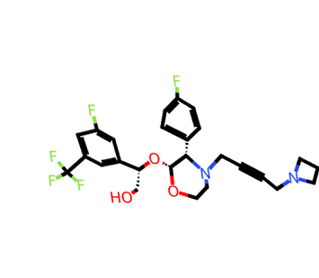 OC[C@@H](O[C@H]1OCCN(CC#CCN2CCC2)[C@H]1c1ccc(F)cc1)c1cc(F)cc(C(F)(F)F)c1